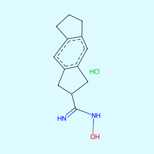 Cl.N=C(NO)C1Cc2cc3c(cc2C1)CCC3